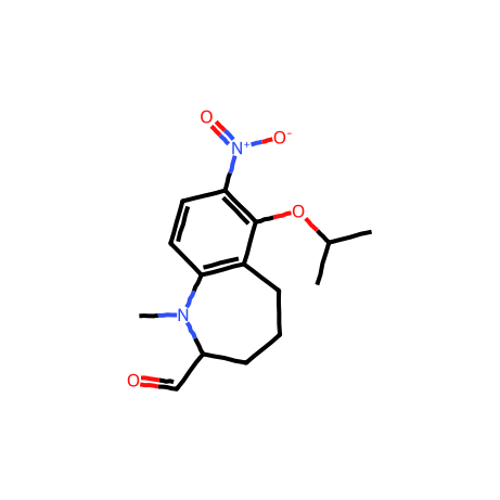 CC(C)Oc1c([N+](=O)[O-])ccc2c1CCCC(C=O)N2C